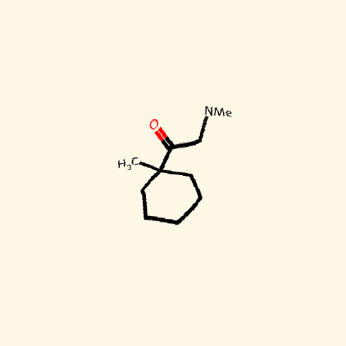 CNCC(=O)C1(C)CCCCC1